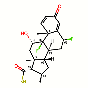 C[C@@H]1C[C@H]2[C@@H]3C[C@H](F)C4=CC(=O)C=C[C@]4(C)[C@@]3(F)[C@@H](O)C[C@]2(C)[C@H]1C(=O)S